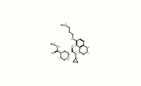 COCCCOc1ccc2c(c1)[C@@H](N(C(=O)[C@H]1CN(C(=O)OC(C)(C)C)CCO1)C1CC1)CCC2